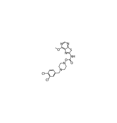 COc1ncnc2sc(NC(=O)ON3CCN(Cc4ccc(Cl)c(Cl)c4)CC3)nc12